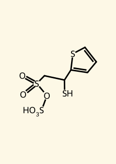 O=S(=O)(O)OS(=O)(=O)CC(S)c1cccs1